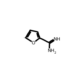 N=C(N)c1cc[c]o1